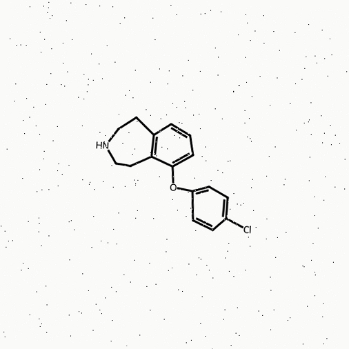 Clc1ccc(Oc2cccc3c2CCNCC3)cc1